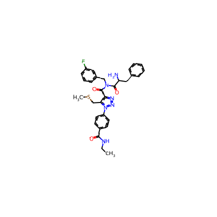 CCNC(=O)c1ccc(-n2nnc(C(=O)N(Cc3cccc(F)c3)C(=O)C(N)Cc3ccccc3)c2CSC)cc1